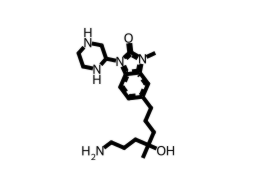 Cn1c(=O)n(C2CNCCN2)c2ccc(CCCC(C)(O)CCCN)cc21